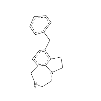 c1ccc(Cc2ccc3c4c2CCN4CCNC3)cc1